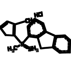 CC1=[C]([Ti]([CH3])(=[SiH2])[c]2cccc3c2Cc2ccccc2-3)CC=C1.Cl